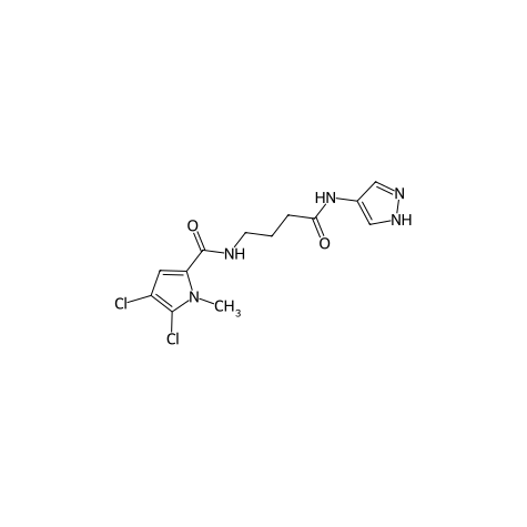 Cn1c(C(=O)NCCCC(=O)Nc2cn[nH]c2)cc(Cl)c1Cl